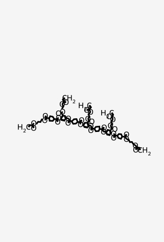 C=CC(=O)OCCCCOC(=O)C1CCC(C(=O)Oc2ccc(OC(=O)C3CCC(C(=O)Oc4ccc(OC(=O)C5CCC(C(=O)Oc6ccc(OC(=O)C7CCC(C(=O)OCCCCOC(=O)C=C)CC7)c(C(=O)OCCOC(=O)C=C)c6)CC5)c(C(=O)OCCOC(=O)C=C)c4)CC3)cc2C(=O)OCCOC(=O)C=C)CC1